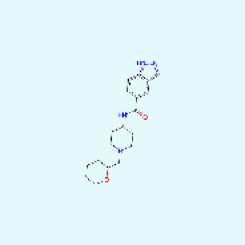 O=C(NC1CCN(CC2CCCCO2)CC1)c1ccc2[nH]ncc2c1